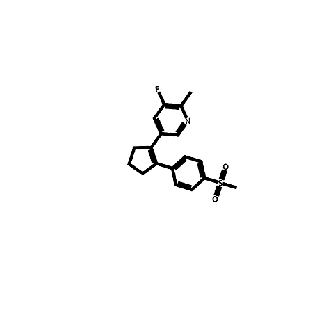 Cc1ncc(C2=C(c3ccc(S(C)(=O)=O)cc3)CCC2)cc1F